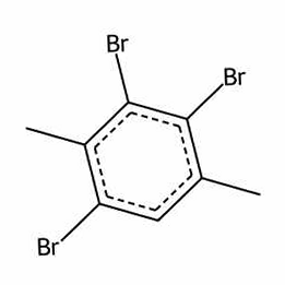 Cc1cc(Br)c(C)c(Br)c1Br